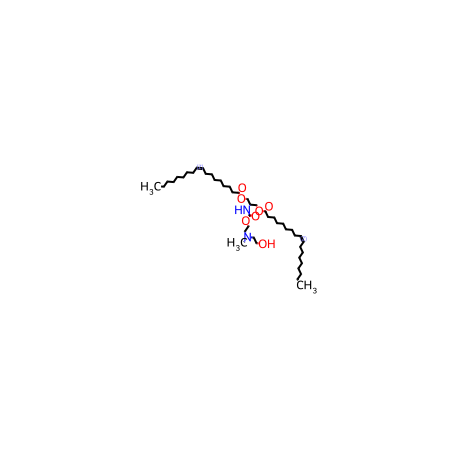 CCCCCCCC/C=C\CCCCCCCC(=O)OCC(COC(=O)CCCCCCC/C=C\CCCCCCCC)NC(=O)OCCN(C)CCO